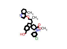 COC(=O)C1(Nc2cccc(Cl)c2)CCC2(CC1)c1cc(CO)ccc1CC2C[C@@H](C)COc1ccnc2c1[C@H](C)CCC2